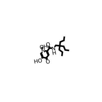 CCCC(CCC)(CCC)CNC(=O)c1cc(=O)c(O)cn1O